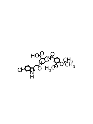 COc1cc(C(=O)N2CC3CN(C(=O)Cc4c[nH]c5cc(Cl)ccc45)CC(C(=O)O)C3C2)ccc1OC(C)C